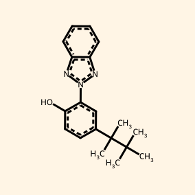 CC(C)(C)C(C)(C)c1ccc(O)c(-n2nc3ccccc3n2)c1